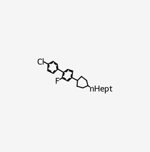 CCCCCCCC1CCC(c2ccc(-c3ccc(Cl)cc3)c(F)c2)CC1